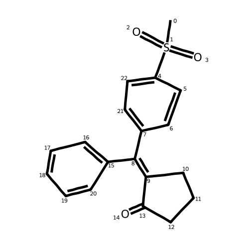 CS(=O)(=O)c1ccc(C(=C2CCCC2=O)c2ccccc2)cc1